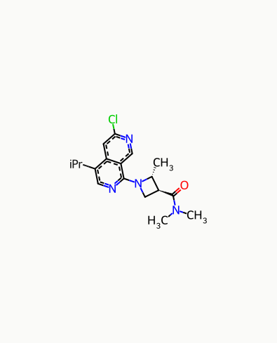 CC(C)c1cnc(N2C[C@H](C(=O)N(C)C)[C@H]2C)c2cnc(Cl)cc12